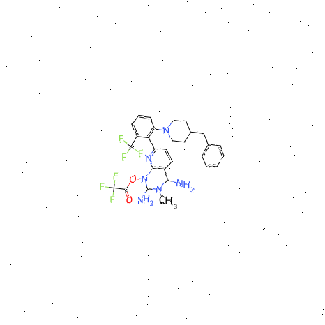 CN1C(N)c2ccc(-c3c(N4CCC(Cc5ccccc5)CC4)cccc3C(F)(F)F)nc2N(OC(=O)C(F)(F)F)C1N